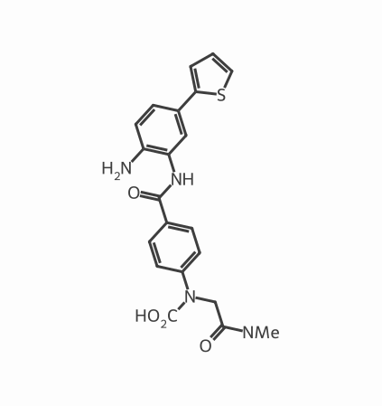 CNC(=O)CN(C(=O)O)c1ccc(C(=O)Nc2cc(-c3cccs3)ccc2N)cc1